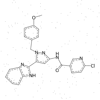 COc1ccc(Cn2nc(NC(=O)c3ccc(Cl)nc3)cc2-c2nc3ccccc3[nH]2)cc1